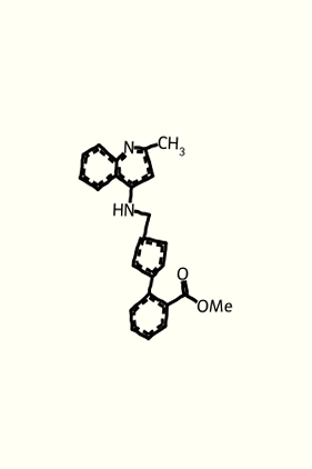 COC(=O)c1ccccc1-c1ccc(CNc2cc(C)nc3ccccc23)cc1